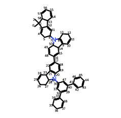 CC1(C)C2=CCC(N3C4=C(C=CCC4)C4C=C(c5ccc6c(c5)C5C=CCCC5N6c5cc(C6=CCCC=C6)cc(-c6ccccc6)c5)C=CC43)C=C2C2C=CC=CC21